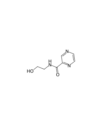 O=C(NCCO)c1cnccn1